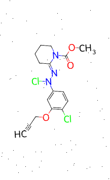 C#CCOc1cc(N(Cl)N=C2CCCCN2C(=O)OC)ccc1Cl